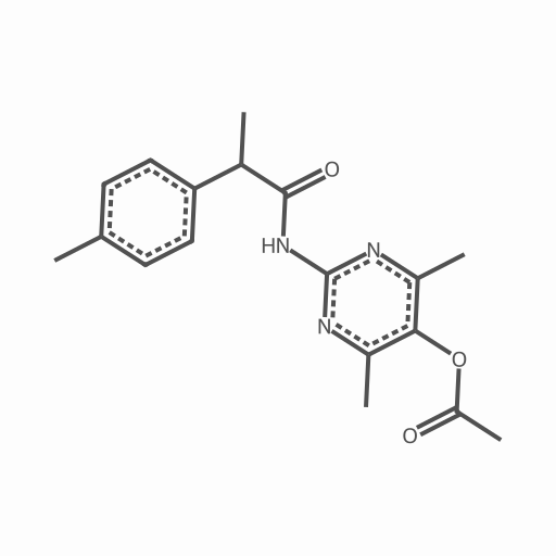 CC(=O)Oc1c(C)nc(NC(=O)C(C)c2ccc(C)cc2)nc1C